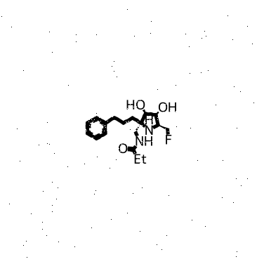 CCC(=O)NC[C@@]1(CCCc2ccccc2)N[C@H](CF)[C@@H](O)[C@@H]1O